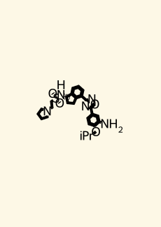 CC(C)Oc1ccc(-c2nc(-c3cccc4c3CC[C@@H]4NS(=O)(=O)CCN3CCCC3)no2)cc1N